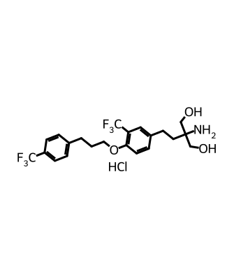 Cl.NC(CO)(CO)CCc1ccc(OCCCc2ccc(C(F)(F)F)cc2)c(C(F)(F)F)c1